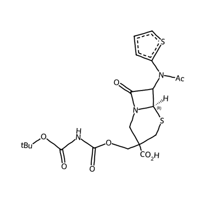 CC(=O)N(c1cccs1)C1C(=O)N2CC(COC(=O)NC(=O)OC(C)(C)C)(C(=O)O)CS[C@H]12